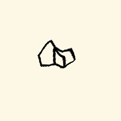 C1CC2C3CCC2C1C3